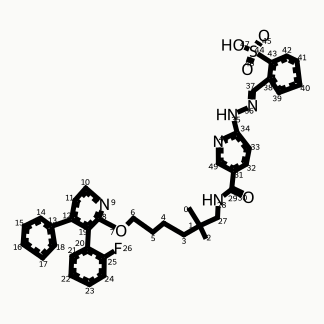 CC(C)(CCCCOc1nccc(-c2ccccc2)c1-c1ccccc1F)CNC(=O)c1ccc(NN=Cc2ccccc2S(=O)(=O)O)nc1